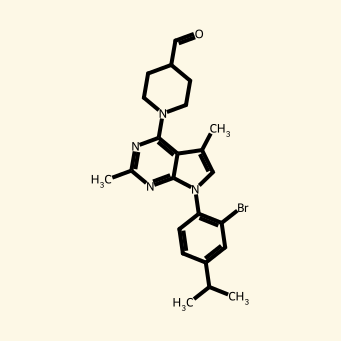 Cc1nc(N2CCC(C=O)CC2)c2c(C)cn(-c3ccc(C(C)C)cc3Br)c2n1